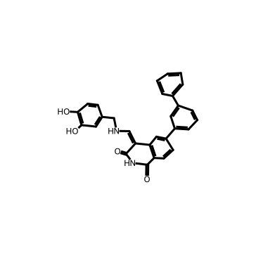 O=C1NC(=O)c2ccc(-c3cccc(-c4ccccc4)c3)cc2C1=CNCc1ccc(O)c(O)c1